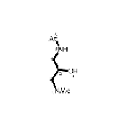 CNCC(O)CNC(C)=O